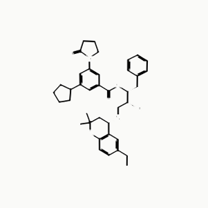 CCc1ccc2c(c1)[C@@H](NC[C@H](O)[C@H](Cc1ccccc1)NC(=O)c1cc(C3CCCC3)cc(N3CCCC3=O)c1)CC(C)(C)O2